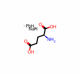 N[C@@H](CCC(=O)O)C(=O)O.[NaH].[PbH2]